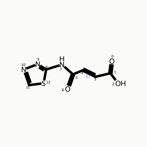 O=C(O)/C=C/C(=O)Nc1nncs1